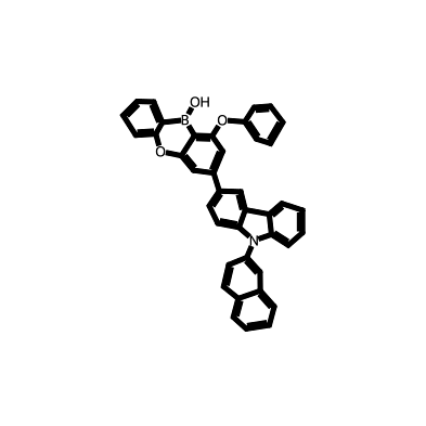 OB1c2ccccc2Oc2cc(-c3ccc4c(c3)c3ccccc3n4-c3ccc4ccccc4c3)cc(Oc3ccccc3)c21